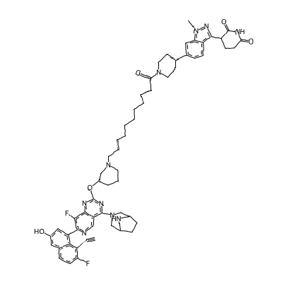 C#Cc1c(F)ccc2cc(O)cc(-c3ncc4c(N5CC6CCC(C5)N6)nc(OC5CCCN(CCCCCCCCCCC(=O)N6CCC(c7ccc8c(C9CCC(=O)NC9=O)nn(C)c8c7)CC6)C5)nc4c3F)c12